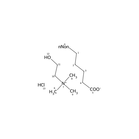 CCCCCCCCCCCCCC(=O)[O-].C[N+](C)(C)CCO.Cl